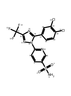 NS(=O)(=O)c1ccc(-n2nc(C(F)(F)F)nc2-c2ccc(Cl)c(Cl)c2)nc1